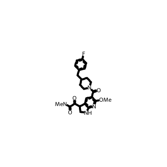 CNC(=O)C(=O)C1CNc2nc(OC)c(C(=O)N3CCC(Cc4ccc(F)cc4)CC3)cc21